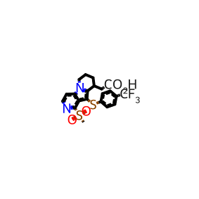 CS(=O)(=O)c1nccc2c1c(Sc1ccc(C(F)(F)F)cc1)c1n2CCCC1CC(=O)O